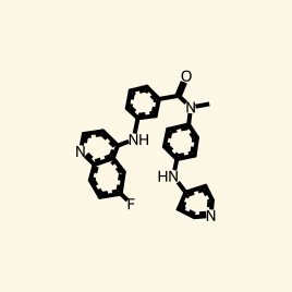 CN(C(=O)c1cccc(Nc2ccnc3ccc(F)cc23)c1)c1ccc(Nc2ccncc2)cc1